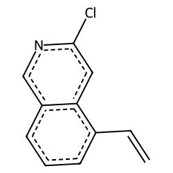 C=Cc1cccc2cnc(Cl)cc12